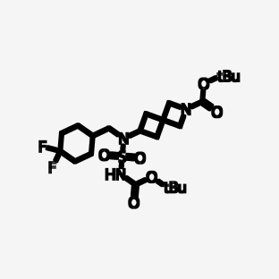 CC(C)(C)OC(=O)NS(=O)(=O)N(CC1CCC(F)(F)CC1)C1CC2(C1)CN(C(=O)OC(C)(C)C)C2